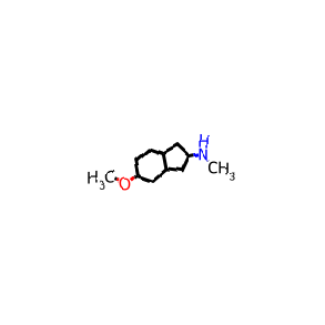 CNC1CC2CCC(OC)CC2C1